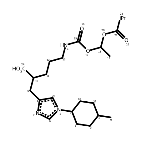 CC1CCC(n2cnc(CC(CCCNC(=O)OC(C)OC(=O)C(C)C)C(=O)O)c2)CC1